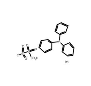 O=S(=O)(O)S(=O)(=O)S(=O)(=O)Cl.[Rh].c1ccc(P(c2ccccc2)c2ccccc2)cc1